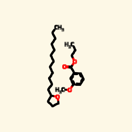 CCCCCCCCCCCCC1CCCO1.CCCOC(=O)c1cccc(OC)c1